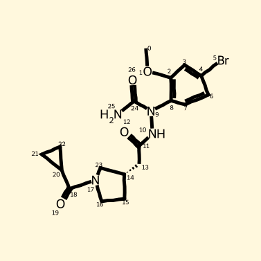 COc1cc(Br)ccc1N(NC(=O)C[C@@H]1CCN(C(=O)C2CC2)C1)C(N)=O